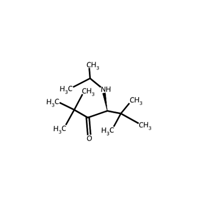 CC(C)N[C@H](C(=O)C(C)(C)C)C(C)(C)C